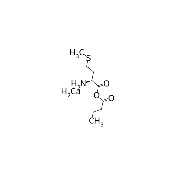 CCCC(=O)OC(=O)[C@@H](N)CCSC.[CaH2]